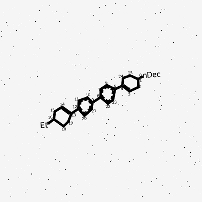 CCCCCCCCCCC1CC=C(c2ccc(-c3ccc(C4=CCC(CC)CC4)cc3)cc2)CC1